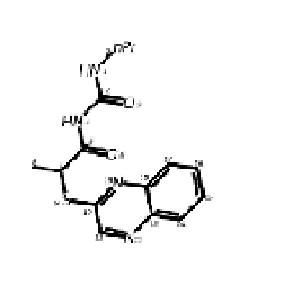 CCCNC(=O)NC(=O)C(C)Sc1cnc2ccccc2n1